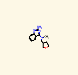 CN(CC1CCOC1)c1nc(N)nc2ccccc12